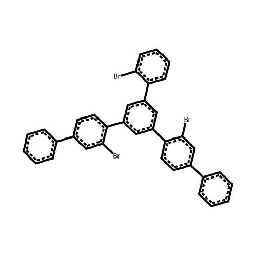 Brc1ccccc1-c1cc(-c2ccc(-c3ccccc3)cc2Br)cc(-c2ccc(-c3ccccc3)cc2Br)c1